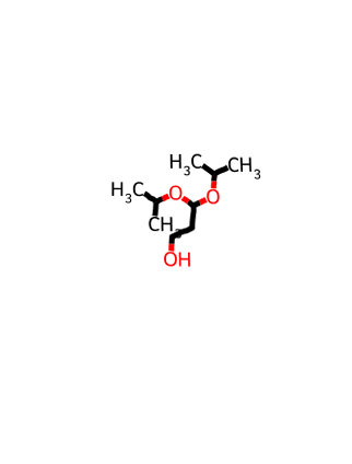 CC(C)OC(CCO)OC(C)C